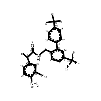 CC(C(=O)NCc1ccc(C(F)(F)F)cc1-c1ccc(C(C)(C)C)cc1)c1ccc(N)c(F)c1